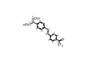 CCCCCCCCN(CCCCCCCC)c1ccc(N=Nc2ccc(C(=O)C(F)(F)F)cc2)cc1